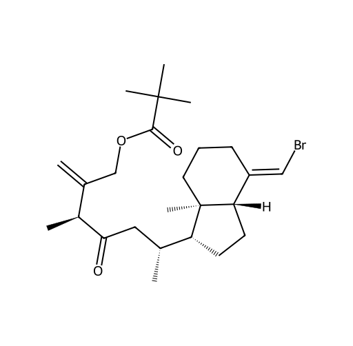 C=C(COC(=O)C(C)(C)C)[C@H](C)C(=O)C[C@@H](C)[C@H]1CC[C@H]2/C(=C/Br)CCC[C@]12C